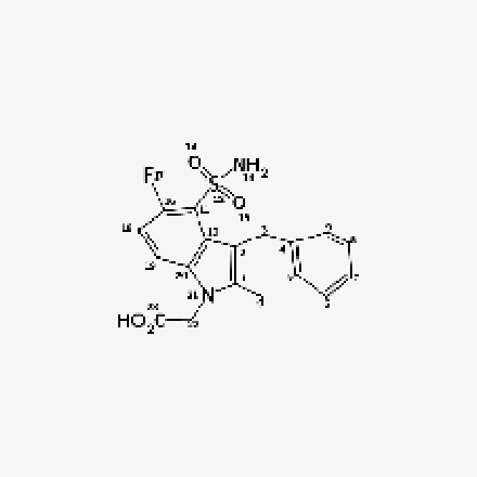 Cc1c(Cc2ccccc2)c2c(S(N)(=O)=O)c(F)ccc2n1CC(=O)O